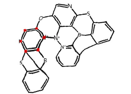 c1cc2c3c(c1)-c1ccc[n+]4c1B3c1c(ncc3c1[N+]41c4c(cnc5c4B4c6c(cccc6-c6ccc[n+]1c64)S5)O3)S2